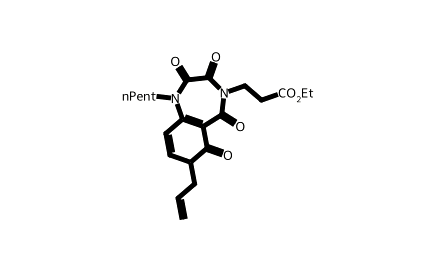 C=CCC1C=Cc2c(c(=O)n(CCC(=O)OCC)c(=O)c(=O)n2CCCCC)C1=O